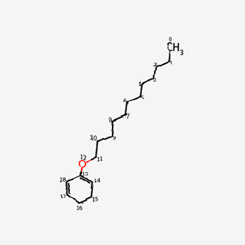 CCCCCCCCCCCCOC1=CC[CH]C=C1